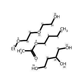 CCCCOC(C)=O.CCOCCOCCO.OCCC(O)CO